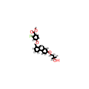 COC(=O)c1ccc(OCc2cccc(-c3ccc(OCCC(C)(C)O)cc3C)c2C)cc1F